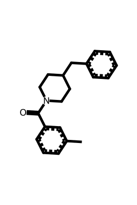 Cc1cccc(C(=O)N2CCC(Cc3ccccc3)CC2)c1